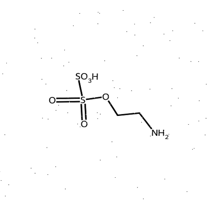 NCCOS(=O)(=O)S(=O)(=O)O